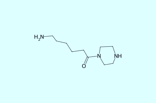 NCCCCCC(=O)N1CCNCC1